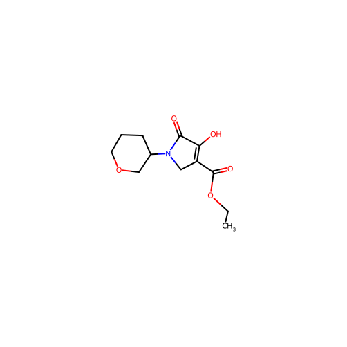 CCOC(=O)C1=C(O)C(=O)N(C2CCCOC2)C1